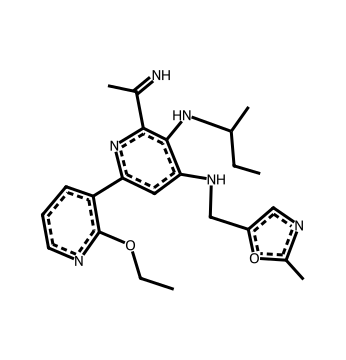 CCOc1ncccc1-c1cc(NCc2cnc(C)o2)c(NC(C)CC)c(C(C)=N)n1